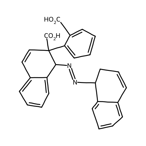 O=C(O)c1ccccc1C1(C(=O)O)C=Cc2ccccc2C1N=NC1CC=Cc2ccccc21